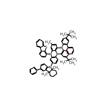 Cc1cc2c3c(c1)N(c1cccc4c1sc1ccccc14)c1cc(N4c5ccc(-c6ccccc6)cc5C5(C)CCCCC45C)ccc1B3c1cc(C(C)(C)C)ccc1N2c1ccc(C(C)(C)C)cc1-c1ccccc1